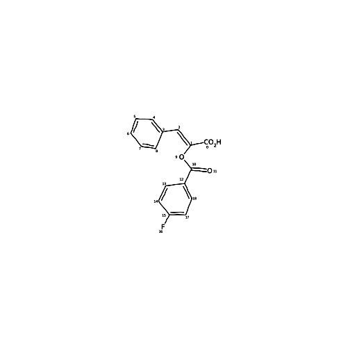 O=C(O)C(=Cc1ccccc1)OC(=O)c1ccc(F)cc1